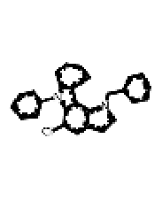 Clc1cc2ccn(Cc3ccccc3)c2c2c3ccccc3n(-c3ccccc3)c12